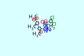 COC(=O)c1ccc(-c2ccc(OC)c(-c3cnc(N4CCC4)nc3CN3C(=O)OC(c4cc(Cl)cc(Cl)c4)C3C)c2)c(C)c1